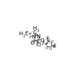 C=CCn1c(C)nc(OCc2ccc(F)cc2F)c(Cl)c1=O